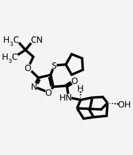 CC(C)(C#N)COc1noc(C(=O)N[C@H]2C3CC4CC2C[C@](O)(C4)C3)c1SC1CCCC1